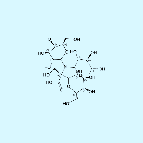 O=C(O)[C@@](CO)(C1O[C@H](CO)[C@H](O)[C@H](O)[C@H]1O)N(C1O[C@H](CO)[C@H](O)[C@H](O)[C@H]1O)C1OC[C@@H](O)[C@H](O)[C@H]1O